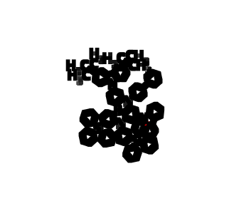 CC(C)(C)c1ccc2c(c1)c1cc(C(C)(C)C)ccc1n2-c1ccc2c(c1)N(c1ccc(-c3ccccc3)cc1)c1cc(-n3c4ccccc4c4ccccc43)cc3c1B2c1ccc([Si](c2ccccc2)(c2ccccc2)c2ccccc2)cc1N3c1cccc([Si](c2ccccc2)(c2ccccc2)c2ccccc2)c1